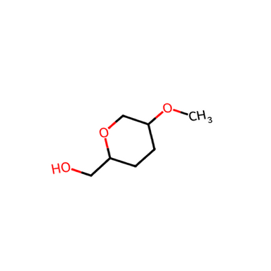 COC1CCC(CO)OC1